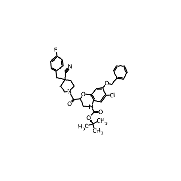 CC(C)(C)OC(=O)N1CC(C(=O)N2CCC(C#N)(Cc3ccc(F)cc3)CC2)Oc2cc(OCc3ccccc3)c(Cl)cc21